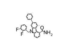 NC(=O)c1cccc2c1c1[c]cc(-c3ccccc3)cc1n2Cc1cccc(F)c1F